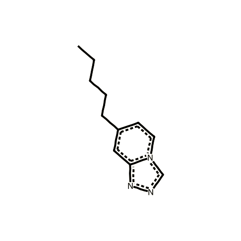 CCCCCc1ccn2cnnc2c1